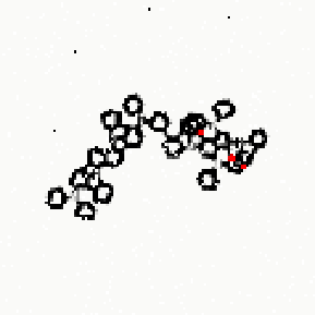 c1ccc(N(c2ccccc2)c2cc3c(c4cccc5c6c(-c7cccc(N(c8ccccc8)c8ccc9c%10ccc%11c(ccc%12c%13ccc(N(c%14ccccc%14)c%14ccccc%14)c%14c%15ccccc%15n(c%11%12)c%13%14)c%10n%10c%11ccccc%11c8c9%10)c7)cccc6n3c54)c3c(N(c4ccccc4)c4ccccc4)cc4c(c5cccc6c7ccccc7n4c65)c23)cc1